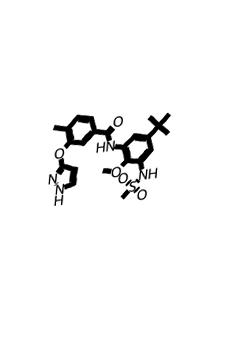 COc1c(NC(=O)c2ccc(C)c(Oc3cc[nH]n3)c2)cc(C(C)(C)C)cc1NS(C)(=O)=O